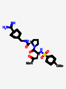 CNC(=O)C[C@H](NS(=O)(=O)c1ccc(OC)cc1)C(=O)N1CCC[C@H]1C(=O)NCc1ccc(C(=N)N)cc1